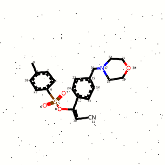 Cc1ccc(S(=O)(=O)O/C(=C/C#N)c2ccc(CN3CCOCC3)cc2)cc1